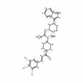 NC(=O)[C@H](N[C@H]1CC[C@H](c2c[nH]c3ccccc32)CC1)C1CCN(C(=O)/C=C/c2cc(F)c(F)c(F)c2)CC1